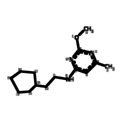 COc1nc(C)cc(NCCC2CCCCC2)n1